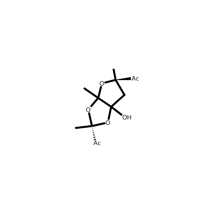 CC(=O)[C@@]1(C)OC2(O)C[C@](C)(C(C)=O)OC2(C)O1